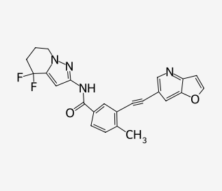 Cc1ccc(C(=O)Nc2cc3n(n2)CCCC3(F)F)cc1C#Cc1cnc2ccoc2c1